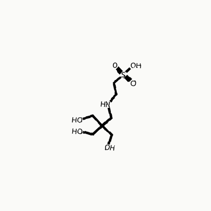 O=S(=O)(O)CCNCC(CO)(CO)CO